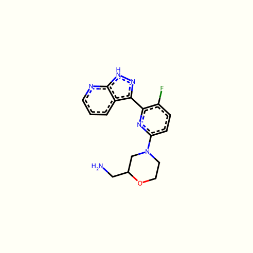 NCC1CN(c2ccc(F)c(-c3n[nH]c4ncccc34)n2)CCO1